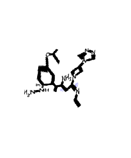 C=C/N=C(\C=C(/N)C(=C)C1=CC(OC(C)C)=CC[C@H]1NN)N1CC(n2cnnc2)C1